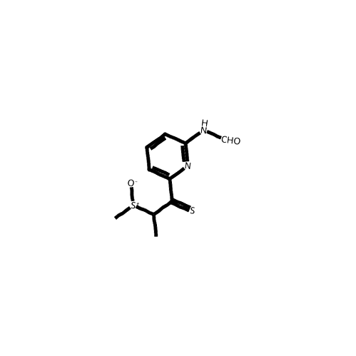 CC(C(=S)c1cccc(NC=O)n1)[S+](C)[O-]